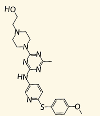 COc1ccc(Sc2ccc(Nc3nc(C)nc(N4CCN(CCO)CC4)n3)cn2)cc1